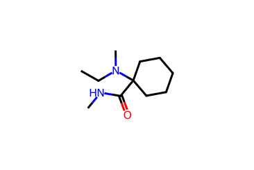 CCN(C)C1(C(=O)NC)CCCCC1